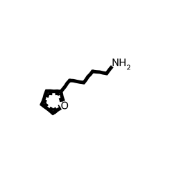 NCCCCc1ccco1